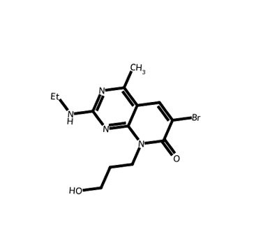 CCNc1nc(C)c2cc(Br)c(=O)n(CCCO)c2n1